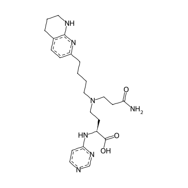 NC(=O)CCN(CCCCc1ccc2c(n1)NCCC2)CC[C@H](Nc1ccncn1)C(=O)O